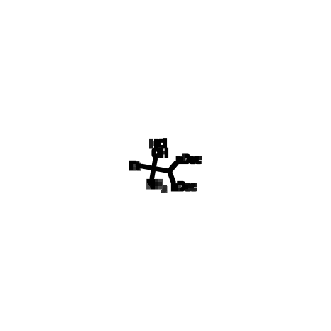 CCCCCCCCCCC(CCCCCCCCCC)C(N)(O)CC.Cl